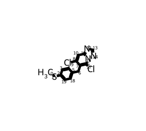 CSc1ccc(Cc2c(Cl)cc3ncnn3c2Cl)cc1